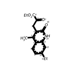 CCOC(=O)C(=O)Cc1c(C)c2ccc(CC)cc2[nH]c1=O